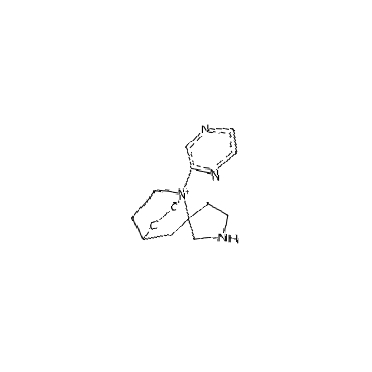 c1cnc([N+]23CCC(CC2)CC32CCNC2)cn1